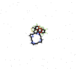 Fc1c(F)c(F)c(-c2c(-c3c(F)c(F)c(F)c(F)c3F)c3c(C4CCCSS4)c4nc(cc5ccc(cc6nc(cc2n3-c2c(F)c(F)c(F)c(F)c2F)C=C6)[nH]5)C=C4)c(F)c1F